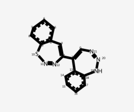 [C]1=C(C2=Cc3ccccc3SN=N2)c2ccccc2NN=N1